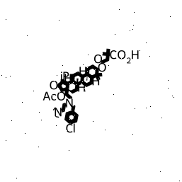 CC(=O)O[C@H](CN(CCN(C)C)Cc1ccc(Cl)cc1)[C@@]12CC[C@]3(C)[C@H](CC[C@H]4[C@H]3CC[C@H]3C(C)(C)[C@@H](OC(=O)CC(C)(C)C(=O)O)CC[C@]43C)C1=C(C(C)C)C(=O)C2